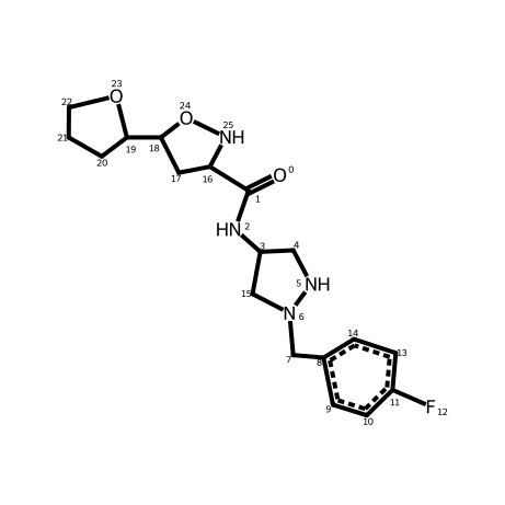 O=C(NC1CNN(Cc2ccc(F)cc2)C1)C1CC(C2CCCO2)ON1